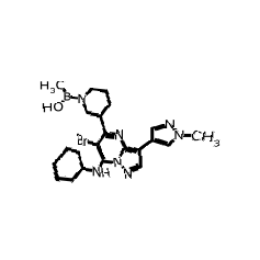 CB(O)N1CCCC(c2nc3c(-c4cnn(C)c4)cnn3c(NC3CCCCC3)c2Br)C1